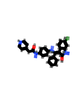 O=C(Cc1ccncc1)Nc1ccc(NC(=C2C(=O)Nc3cc(Cl)ccc32)c2ccccc2)cc1